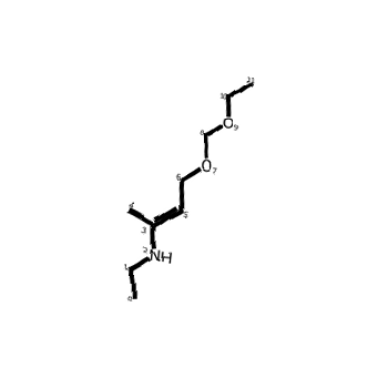 CCN/C(C)=C/COCOCC